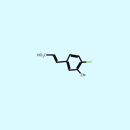 N#Cc1cc(/C=C/C(=O)O)ccc1F